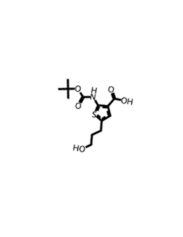 CC(C)(C)OC(=O)Nc1sc(CCCO)cc1C(=O)O